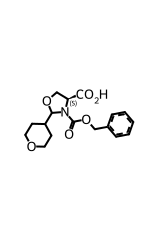 O=C(O)[C@@H]1COC(C2CCOCC2)N1C(=O)OCc1ccccc1